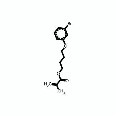 C=C(C)C(=O)OCCCCOc1cccc(Br)c1